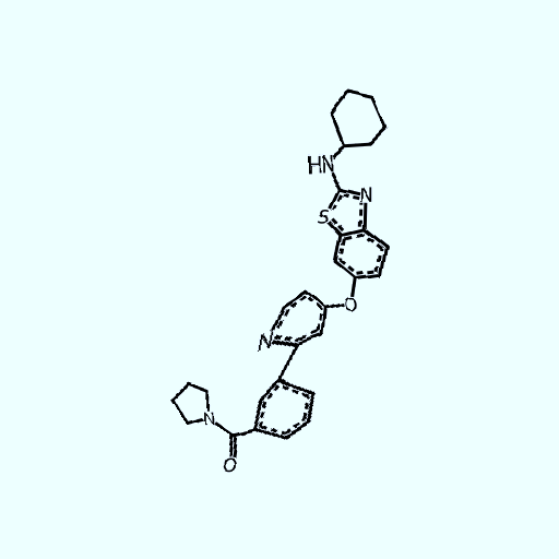 O=C(c1cccc(-c2cc(Oc3ccc4nc(NC5CCCCC5)sc4c3)ccn2)c1)N1CCCC1